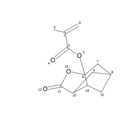 C=C(C)C(=O)OC12CC3CC(C(=O)O1)C2C3